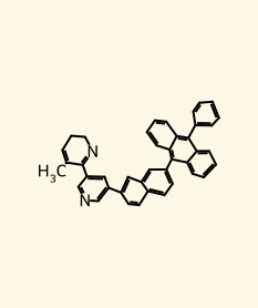 CC1=CCCN=C1c1cncc(-c2ccc3ccc(-c4c5ccccc5c(-c5ccccc5)c5ccccc45)cc3c2)c1